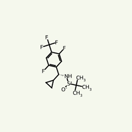 CC(C)(C)[S@@+]([O-])N[C@@H](c1cc(F)c(C(F)(F)F)cc1F)C1CC1